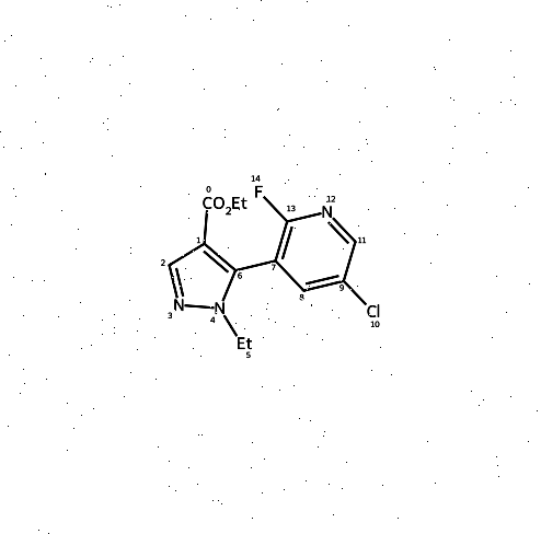 CCOC(=O)c1cnn(CC)c1-c1cc(Cl)cnc1F